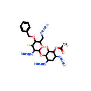 CC(=O)OC1C(N=[N+]=[N-])CC(N=[N+]=[N-])C(OC2OC(CN=[N+]=[N-])C(OCc3ccccc3)C(F)C2N=[N+]=[N-])C1O